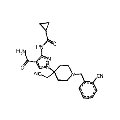 N#CCC1(n2cc(C(N)=O)c(NC(=O)C3CC3)n2)CCN(Cc2ccccc2C#N)CC1